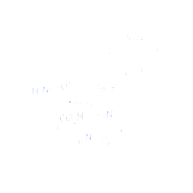 NOC(C/C=C(\Cn1ccnc1)c1ccccc1)C(=O)O